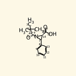 CC(C)(C)[S@@+]([O-])N1C(c2ccccc2)[C@@H]1C(=O)O